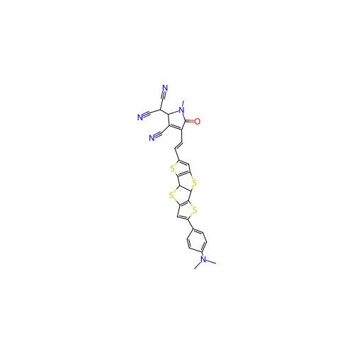 CN(C)c1ccc(-c2cc3c(s2)C2Sc4cc(/C=C/C5=C(C#N)C(C(C#N)C#N)N(C)C5=O)sc4C2S3)cc1